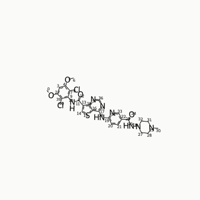 COc1cc(OC)c(Cl)c(NC(=O)c2csc3c(Nc4ccc(C(=O)NN5CCN(C)CC5)cn4)ncnc23)c1Cl